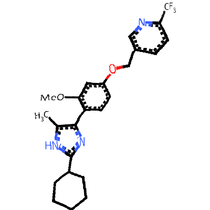 COc1cc(OCc2ccc(C(F)(F)F)nc2)ccc1-c1nc(C2CCCCC2)[nH]c1C